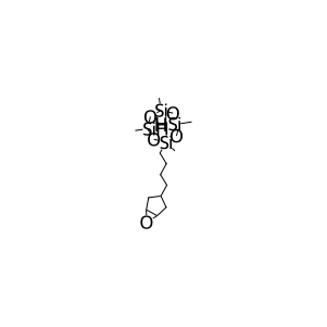 C[SiH]1O[SiH](C)O[Si](C)(CCCCC2CC3OC3C2)O[SiH](C)O1